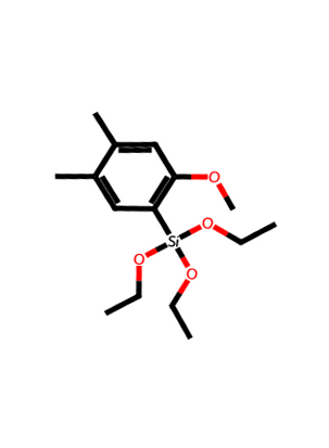 CCO[Si](OCC)(OCC)c1cc(C)c(C)cc1OC